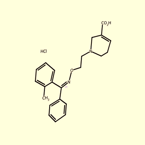 Cc1ccccc1/C(=N\OCCN1CCC=C(C(=O)O)C1)c1ccccc1.Cl